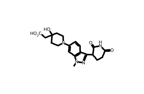 Cn1nc(C2CCC(=O)NC2=O)c2ccc(N3CCC(O)(CC(=O)O)CC3)cc21